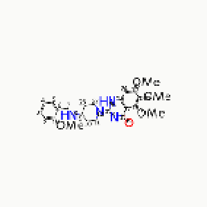 COc1ccccc1CNC1CCN(c2nc(=O)c3c(OC)c(OC)c(OC)cc3[nH]2)CC1